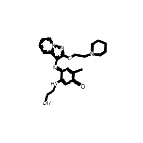 CC1=C/C(=N\c2c(OCCN3CCCCC3)nn3ccccc23)C(NCCO)=CC1=O